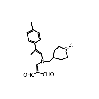 C/C(=C\N(C=C(C=O)C=O)CC1CC[S+]([O-])CC1)c1ccc(C)cc1